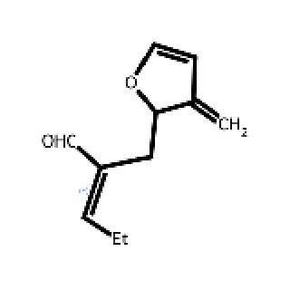 C=C1C=COC1C/C(C=O)=C\CC